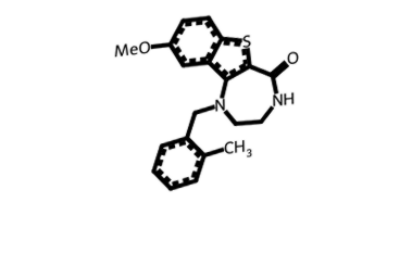 COc1ccc2sc3c(c2c1)N(Cc1ccccc1C)CCNC3=O